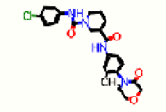 Cc1cc(NC(=O)C2CCCN(C(=O)Nc3ccc(Cl)cc3)C2)ccc1N1CCOCC1=O